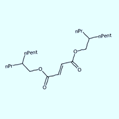 CCCCCC(CCC)COC(=O)C=CC(=O)OCC(CCC)CCCCC